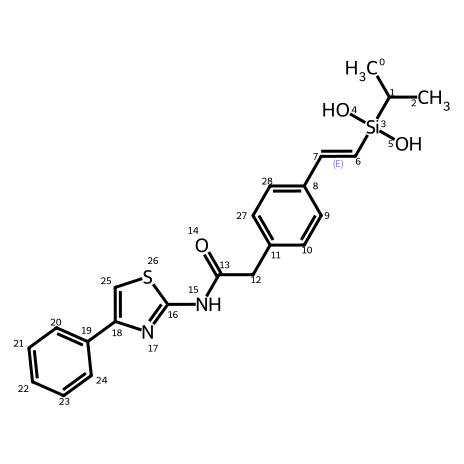 CC(C)[Si](O)(O)/C=C/c1ccc(CC(=O)Nc2nc(-c3ccccc3)cs2)cc1